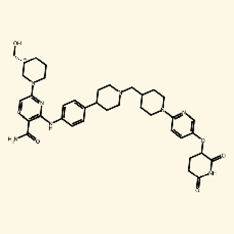 NC(=O)c1ncc(N2CCC[C@@H](CO)C2)nc1Nc1ccc(C2CCN(CC3CCN(c4ccc(OC5CCC(=O)NC5=O)cn4)CC3)CC2)cc1